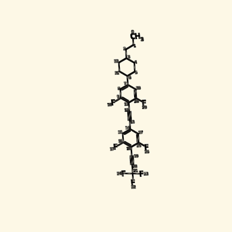 CCCC1CCC(c2cc(F)c(C#Cc3cc(F)c(C#CC(F)(F)F)c(F)c3)c(F)c2)CC1